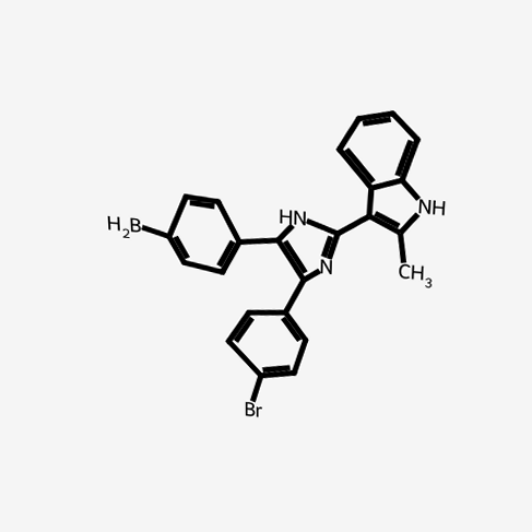 Bc1ccc(-c2[nH]c(-c3c(C)[nH]c4ccccc34)nc2-c2ccc(Br)cc2)cc1